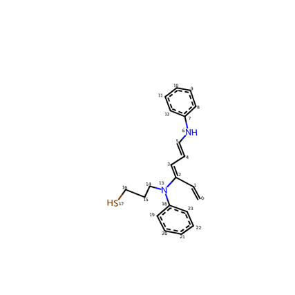 C=C/C(=C\C=C\Nc1ccccc1)N(CCCS)c1ccccc1